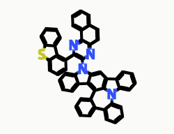 c1ccc2c(c1)-c1ccccc1-n1c3ccccc3c3cc4c(c-2c31)c1ccccc1n4-c1nc2ccc3ccccc3c2nc1-c1cccc2sc3ccccc3c12